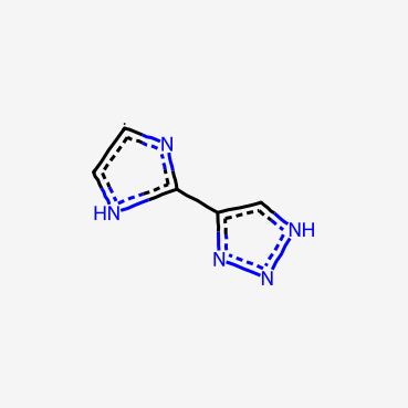 [c]1c[nH]c(-c2c[nH]nn2)n1